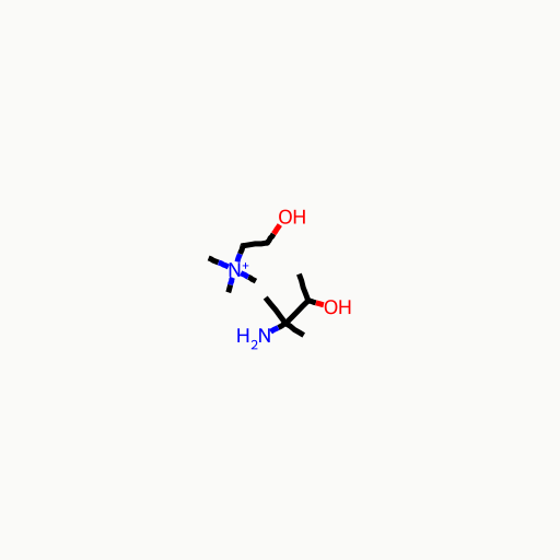 CC(O)C(C)(C)N.C[N+](C)(C)CCO